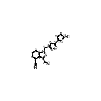 N#Cc1cccc2c1c(C=O)nn2Cc1cc(-c2ccc(Cl)s2)on1